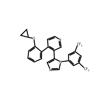 FC(F)(F)c1cc(-n2cncc2-c2cnccc2-c2ccccc2OC2CC2)cc(C(F)(F)F)c1